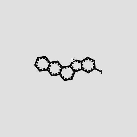 Ic1ccc2sc3c4cc5ccccc5cc4ccc3c2c1